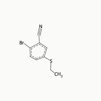 CCSc1ccc(Br)c(C#N)c1